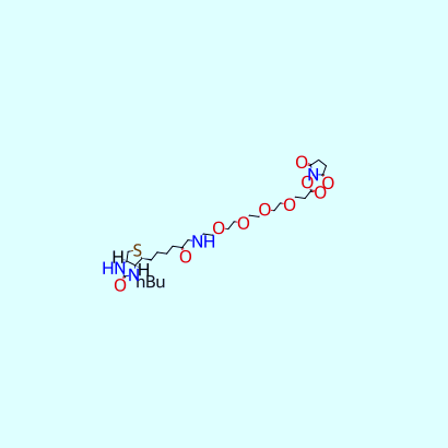 CCCCN1C(=O)N[C@H]2CS[C@@H](CCCCC(=O)CNCCOCCOCCOCCOCCC(=O)ON3C(=O)CCC3=O)[C@H]21